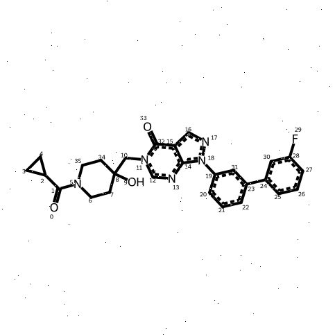 O=C(C1CC1)N1CCC(O)(Cn2cnc3c(cnn3-c3cccc(-c4cccc(F)c4)c3)c2=O)CC1